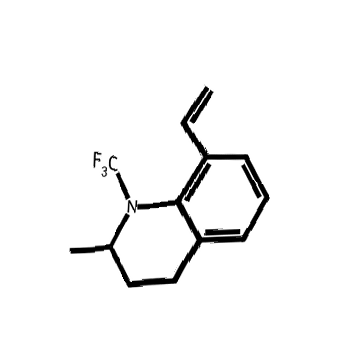 C=Cc1cccc2c1N(C(F)(F)F)C(C)CC2